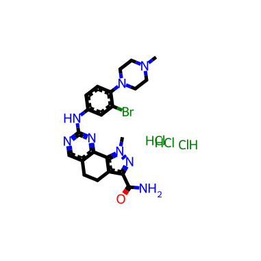 CN1CCN(c2ccc(Nc3ncc4c(n3)-c3c(c(C(N)=O)nn3C)CC4)cc2Br)CC1.Cl.Cl.Cl